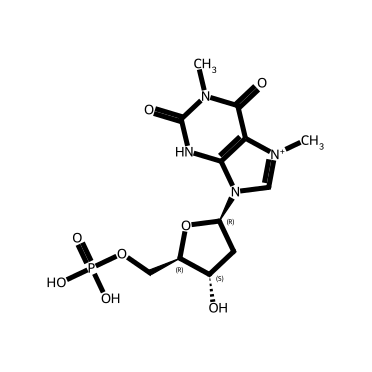 Cn1c(=O)[nH]c2c(c1=O)[n+](C)cn2[C@H]1C[C@H](O)[C@@H](COP(=O)(O)O)O1